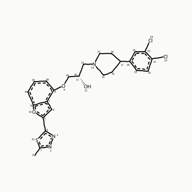 Cc1nnc(-c2cc3c(OC[C@@H](O)CN4CCC(c5ccc(Cl)c(Cl)c5)CC4)cccc3o2)s1